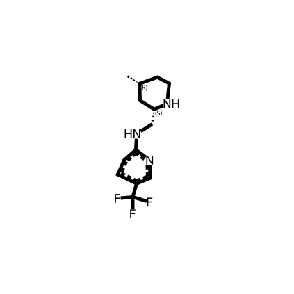 C[C@@H]1CCN[C@H](CNc2ccc(C(F)(F)F)cn2)C1